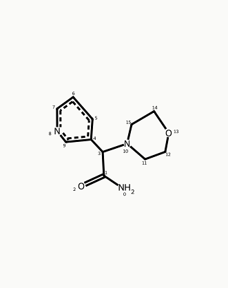 NC(=O)C(c1cccnc1)N1CCOCC1